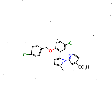 Cc1ccc(-c2cc(Cl)ccc2OCc2ccc(Cl)cc2)n1-c1cc(C(=O)O)ccn1